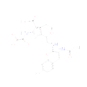 CC(=O)NC(Cc1ccc(O)cc1)C(=O)NCC1OCCc2c1sc(NC(=O)C(=O)O)c2C(=O)O